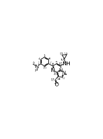 CN(C)c1cccc(-c2cc(NC3CC3)n3ncc(C=O)c3n2)c1